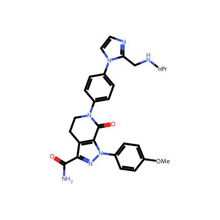 CCCNCc1nccn1-c1ccc(N2CCc3c(C(N)=O)nn(-c4ccc(OC)cc4)c3C2=O)cc1